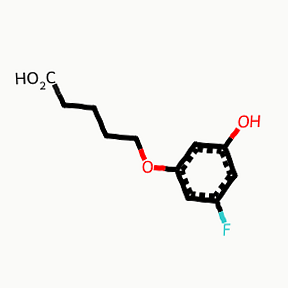 O=C(O)CCCCOc1cc(O)cc(F)c1